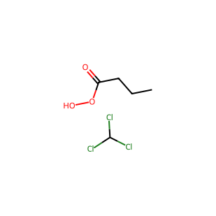 CCCC(=O)OO.ClC(Cl)Cl